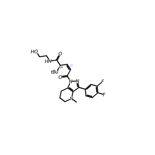 CN1CCCc2c1c(-c1ccc(F)c(F)c1)nn2C(=O)/C=C\[C@H](C(=O)NCCO)C(C)(C)C